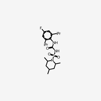 CC1CC(C)N(S(=O)(=O)NC(=O)Nc2c(C(C)C)cc(F)cc2C(C)C)C(C)C1